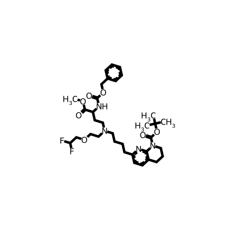 COC(=O)C(CCN(CCCCc1ccc2c(n1)N(C(=O)OC(C)(C)C)CCC2)CCOCC(F)F)NC(=O)OCc1ccccc1